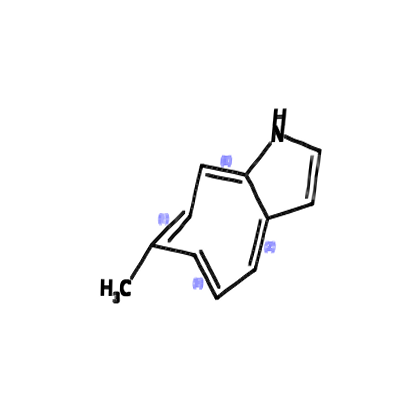 CC1=C\C=c2\[nH]cc\c2=C\C=C\1